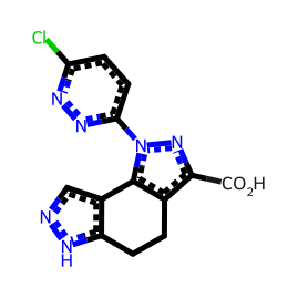 O=C(O)c1nn(-c2ccc(Cl)nn2)c2c1CCc1[nH]ncc1-2